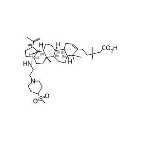 C=C(C)[C@@H]1CC[C@]2(NCCN3CCC(S(C)(=O)=O)CC3)CC[C@]3(C)[C@H](CC[C@@H]4[C@@]5(C)CC=C(CCC(C)(C)CC(=O)O)C(C)(C)[C@@H]5CC[C@]43C)[C@@H]12